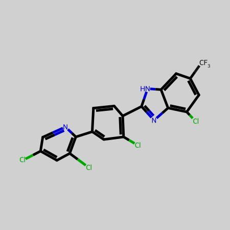 FC(F)(F)c1cc(Cl)c2nc(-c3ccc(-c4ncc(Cl)cc4Cl)cc3Cl)[nH]c2c1